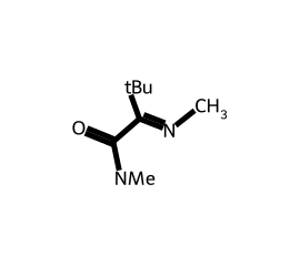 CN=C(C(=O)NC)C(C)(C)C